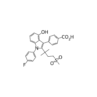 CC(C)(CCS(C)(=O)=O)c1c(-c2ccc(C(=O)O)cc2)c2c(O)cccc2n1-c1ccc(F)cc1